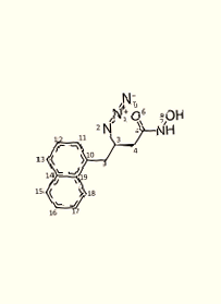 [N-]=[N+]=N[C@@H](CC(=O)NO)Cc1cccc2ccccc12